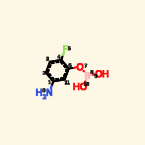 Nc1ccc(F)c(OB(O)O)c1